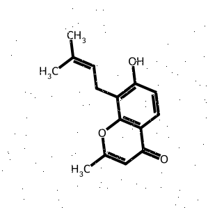 CC(C)=CCc1c(O)ccc2c(=O)cc(C)oc12